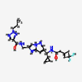 O=C(CC1CC(F)(F)C1)NC(c1cnn2cc(CNC(=O)c3cnn(CCC(F)(F)F)n3)nc2c1)C1CC1